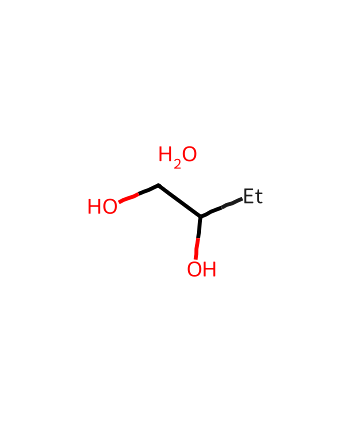 CCC(O)CO.O